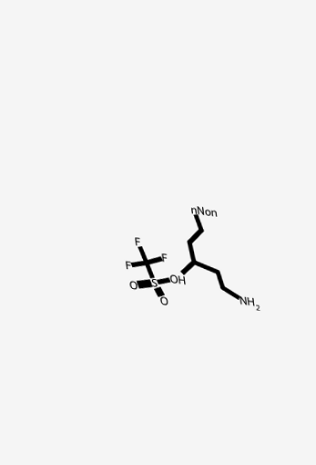 CCCCCCCCCCCC(C)CCN.O=S(=O)(O)C(F)(F)F